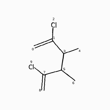 C=C(Cl)C(C)C(C)C(=C)Cl